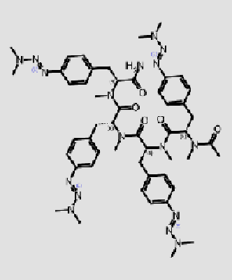 CC(=O)N(C)[C@H](Cc1ccc(/N=N/N(C)C)cc1)C(=O)N(C)[C@@H](Cc1ccc(/N=N/N(C)C)cc1)C(=O)N(C)[C@H](Cc1ccc(/N=N/N(C)C)cc1)C(=O)N(C)[C@@H](Cc1ccc(/N=N/N(C)C)cc1)C(N)=O